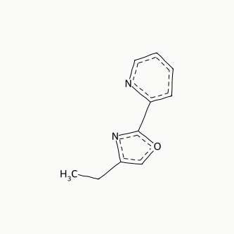 CCc1coc(-c2ccccn2)n1